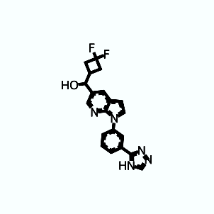 OC(c1cnc2c(ccn2-c2cccc(-c3nnc[nH]3)c2)c1)C1CC(F)(F)C1